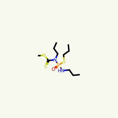 CCCNP(=O)(SCCC)N(CCC)C(=S)SC